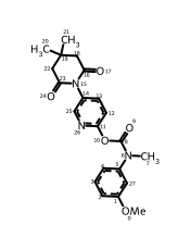 COc1cccc(N(C)C(=O)Oc2ccc(N3C(=O)CC(C)(C)CC3=O)cn2)c1